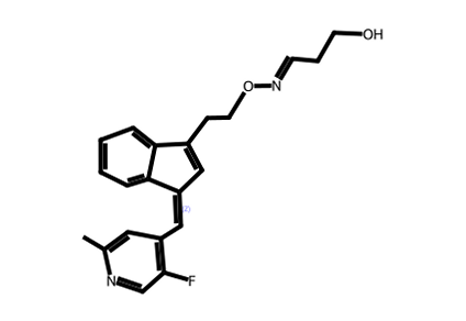 Cc1cc(/C=C2/C=C(CCON=CCCO)c3ccccc32)c(F)cn1